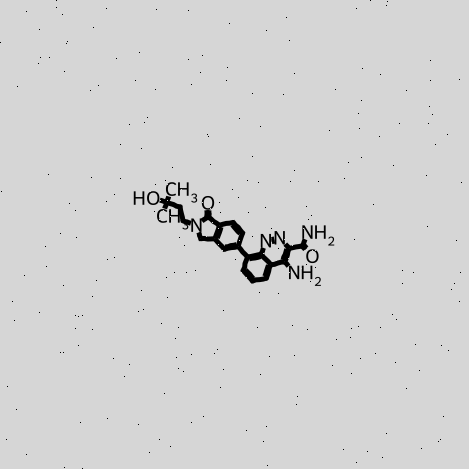 CC(C)(O)CCN1Cc2cc(-c3cccc4c(N)c(C(N)=O)nnc34)ccc2C1=O